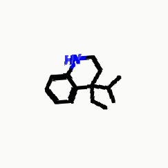 CCC1(C(C)C)CCNc2ccccc21